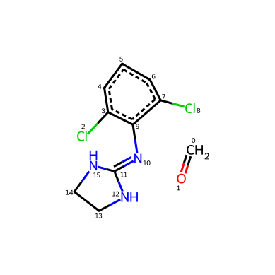 C=O.Clc1cccc(Cl)c1N=C1NCCN1